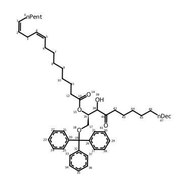 CCCCC/C=C\C/C=C\CCCCCCCC(=O)O[C@H](COC(c1ccccc1)(c1ccccc1)c1ccccc1)C(O)C(=O)CCCCCCCCCCCCCCC